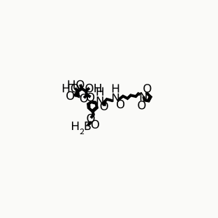 BC(=O)OCc1ccc(OC2OC3C(=O)C3(O)C(O)C2O)c(NC(=O)CCNC(=O)CCCCCN2C(=O)C=CC2=O)c1